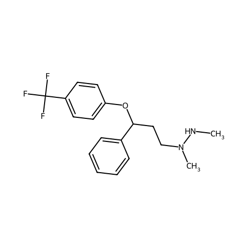 CNN(C)CCC(Oc1ccc(C(F)(F)F)cc1)c1ccccc1